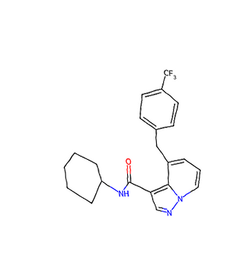 O=C(NC1CCCCC1)c1cnn2cccc(Cc3ccc(C(F)(F)F)cc3)c12